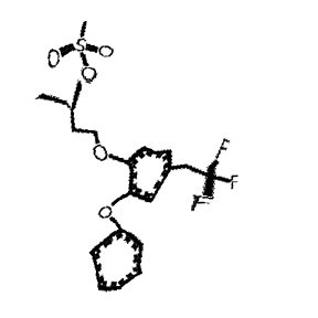 C[C@H](CCOc1ccc(C(F)(F)F)cc1Oc1ccccc1)OS(C)(=O)=O